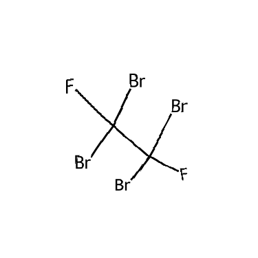 FC(Br)(Br)C(F)(Br)Br